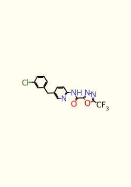 O=C(Nc1ccc(Cc2cccc(Cl)c2)cn1)c1nnc(C(F)(F)F)o1